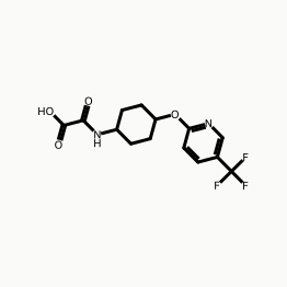 O=C(O)C(=O)NC1CCC(Oc2ccc(C(F)(F)F)cn2)CC1